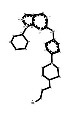 OCCCC1CCN(c2ccc(Nc3ncc4cnn(C5CCCCC5)c4n3)cc2)CC1